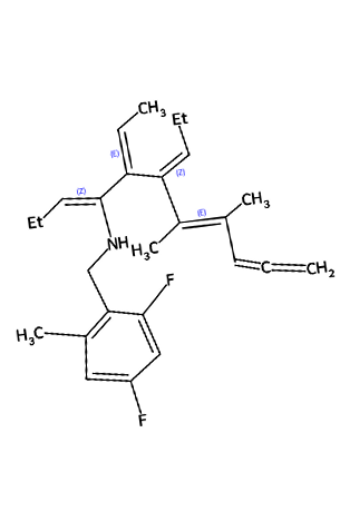 C=C=C/C(C)=C(C)/C(=C/CC)C(=C\C)/C(=C/CC)NCc1c(C)cc(F)cc1F